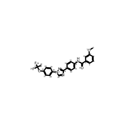 COc1cccc(C(=O)Nc2ccc(-c3ncn(-c4ccc(OC(F)(F)F)cc4)n3)cc2)c1